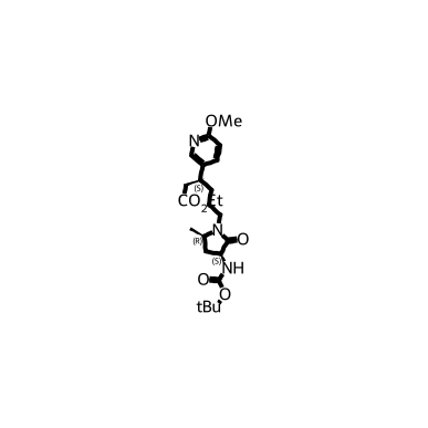 CCOC(=O)C[C@H](CCCN1C(=O)[C@@H](NC(=O)OC(C)(C)C)C[C@H]1C)c1ccc(OC)nc1